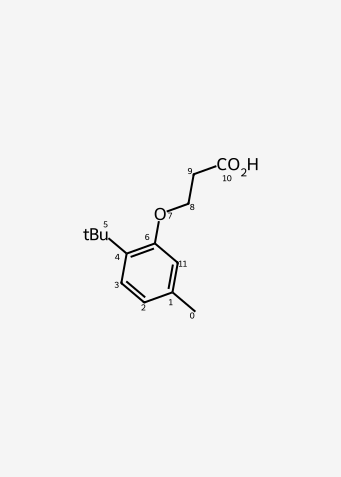 Cc1ccc(C(C)(C)C)c(OCCC(=O)O)c1